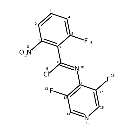 O=[N+]([O-])c1cccc(F)c1/C(Cl)=N/c1c(F)cncc1F